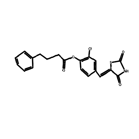 O=C(CCCc1ccccc1)Oc1ccc(/C=C2\SC(=O)NC2=O)cc1Cl